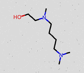 CN(C)CCCCN(C)CCO